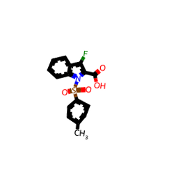 Cc1ccc(S(=O)(=O)n2c(C(=O)O)c(F)c3ccccc32)cc1